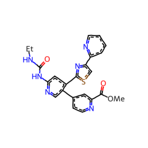 CCNC(=O)Nc1cc(-c2nc(-c3ccccn3)cs2)c(-c2ccnc(C(=O)OC)c2)cn1